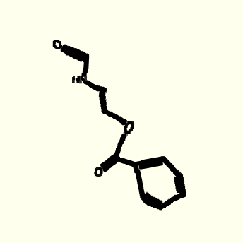 O=CNCCOC(=O)c1ccccc1